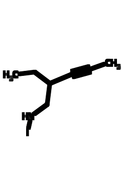 CC#CC(CC)CNI